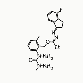 CCC(=NN=C1CCc2c(F)cccc21)OCc1c(C)cccc1N(N)C(=O)N(C)N